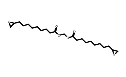 O=C(CCCCCCCCC1CO1)OCOC(=O)CCCCCCCCC1CO1